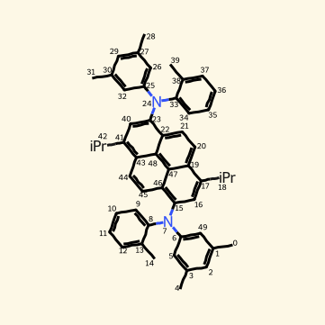 Cc1cc(C)cc(N(c2ccccc2C)c2cc(C(C)C)c3ccc4c(N(c5cc(C)cc(C)c5)c5ccccc5C)cc(C(C)C)c5ccc2c3c54)c1